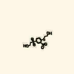 O=[N+]([O-])c1cc(S(=O)(=O)CCO)ccc1SCCO